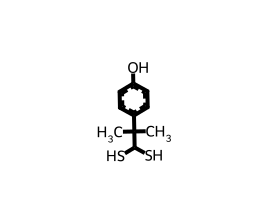 CC(C)(c1ccc(O)cc1)C(S)S